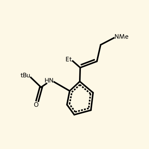 CC/C(=C\CNC)c1ccccc1NC(=O)C(C)(C)C